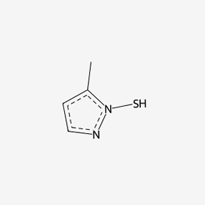 Cc1ccnn1S